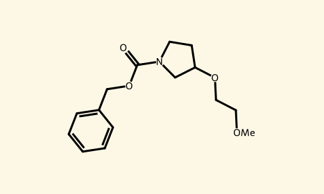 COCCOC1CCN(C(=O)OCc2ccccc2)C1